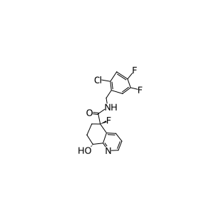 O=C(NCc1cc(F)c(F)cc1Cl)[C@@]1(F)CC[C@@H](O)c2ncccc21